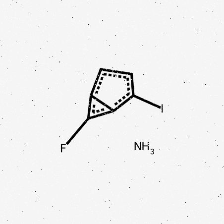 Fc1c2ccc(I)c1-2.N